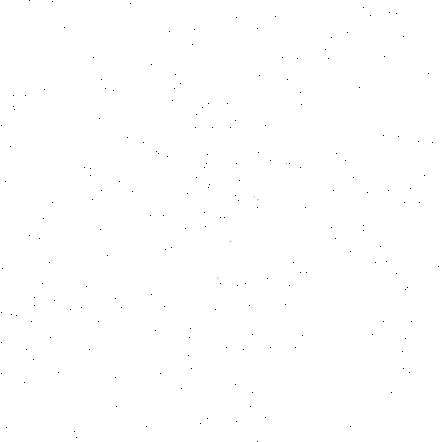 Cl.ClCc1cncn1C(Br)=Cc1ccccc1